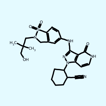 CC(C)(CO)CN1Cc2cc(Nc3nn(C4CCCCC4C#N)c4cc[nH]c(=O)c34)ccc2S1(=O)=O